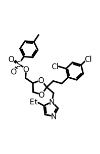 CCc1cncn1CC1(CCc2ccc(Cl)cc2Cl)OCC(COS(=O)(=O)c2ccc(C)cc2)O1